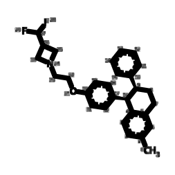 Cc1ccc2c(c1)CC[C@H](c1ccccc1)[C@@H]2c1ccc(OCCN2CC(C(F)F)C2)cc1